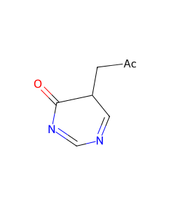 CC(=O)CC1C=NC=NC1=O